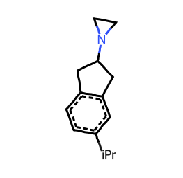 CC(C)c1ccc2c(c1)CC(N1CC1)C2